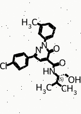 Cc1cccc(-n2nc(-c3ccc(Cl)cc3)cc(C(=O)N[C@H](CO)C(C)C)c2=O)c1